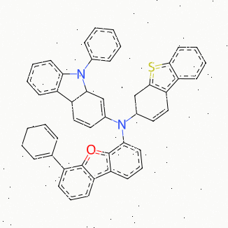 C1=CC(c2cccc3c2oc2c(N(C4=CC5C(C=C4)c4ccccc4N5c4ccccc4)C4C=Cc5c(sc6ccccc56)C4)cccc23)=CCC1